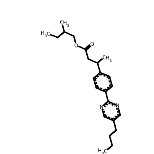 CCCCc1cnc(-c2ccc(C(C)CC(=O)OCC(C)CC)cc2)nc1